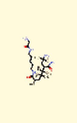 CC(C)(N)CC(C(N)=O)C(C)(C)C(C)(C)CC(C(=O)NCCCCCNC(=O)CN)C(C)(C)C